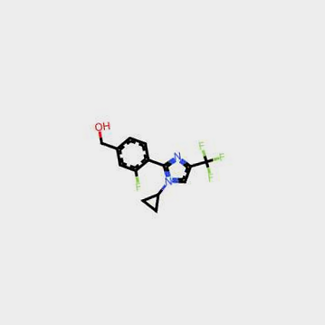 OCc1ccc(-c2nc(C(F)(F)F)cn2C2CC2)c(F)c1